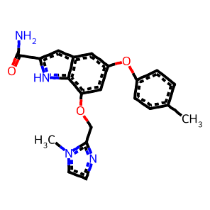 Cc1ccc(Oc2cc(OCc3nccn3C)c3[nH]c(C(N)=O)cc3c2)cc1